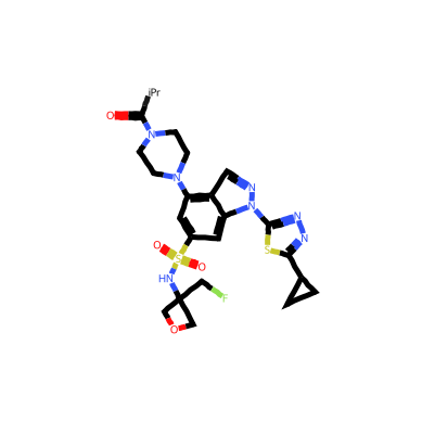 CC(C)C(=O)N1CCN(c2cc(S(=O)(=O)NC3(CF)COC3)cc3c2cnn3-c2nnc(C3CC3)s2)CC1